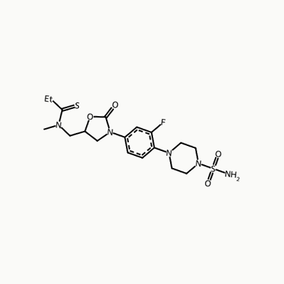 CCC(=S)N(C)CC1CN(c2ccc(N3CCN(S(N)(=O)=O)CC3)c(F)c2)C(=O)O1